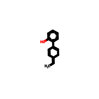 CC=C1C=CC(c2ccccc2O)=CC1